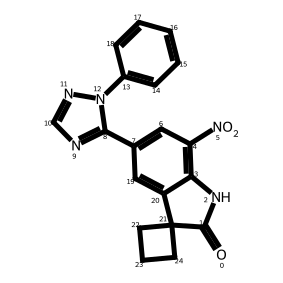 O=C1Nc2c([N+](=O)[O-])cc(-c3ncnn3-c3ccccc3)cc2C12CCC2